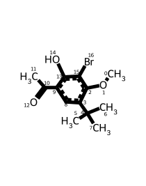 COc1c(C(C)(C)C)cc(C(C)=O)c(O)c1Br